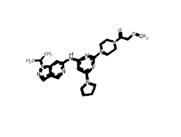 COCC(=O)N1CCN(c2nc(Nc3cc4c(cn3)cnn4C(C)C)cc(N3CCCC3)n2)CC1